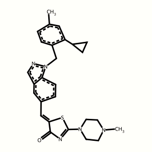 Cc1ccc(Cn2ncc3cc(/C=C4\SC(N5CCN(C)CC5)=NC4=O)ccc32)c(C2CC2)c1